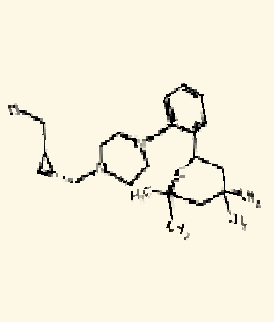 CC1(C)CC(c2ccccc2N2CCN(C[C@@H]3C[C@H]3CCl)CC2)CC(C)(C)C1